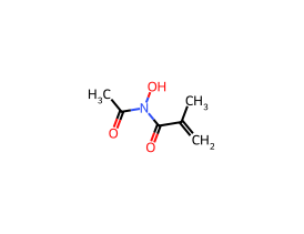 C=C(C)C(=O)N(O)C(C)=O